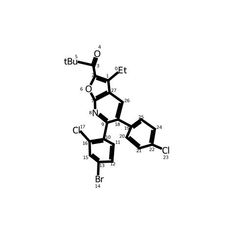 CCc1c(C(=O)C(C)(C)C)oc2nc(-c3ccc(Br)cc3Cl)c(-c3ccc(Cl)cc3)cc12